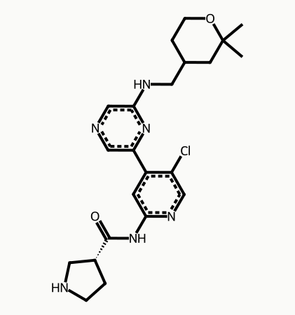 CC1(C)CC(CNc2cncc(-c3cc(NC(=O)[C@@H]4CCNC4)ncc3Cl)n2)CCO1